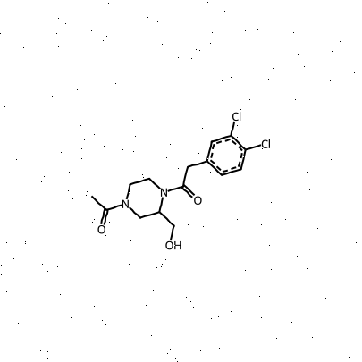 CC(=O)N1CCN(C(=O)Cc2ccc(Cl)c(Cl)c2)C(CO)C1